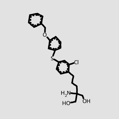 NC(CO)(CO)CCCc1ccc(Sc2cccc(OCc3ccccc3)c2)cc1Cl